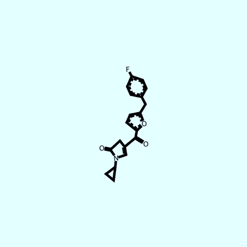 O=C(C1=CN(C2CC2)C(=O)C1)c1ccc(Cc2ccc(F)cc2)o1